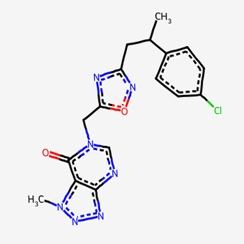 CC(Cc1noc(Cn2cnc3nnn(C)c3c2=O)n1)c1ccc(Cl)cc1